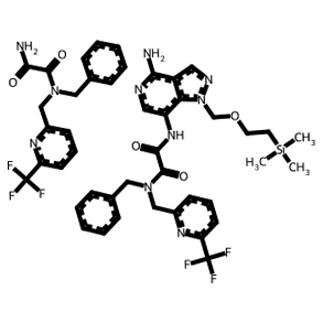 C[Si](C)(C)CCOCn1ncc2c(N)ncc(NC(=O)C(=O)N(Cc3ccccc3)Cc3cccc(C(F)(F)F)n3)c21.NC(=O)C(=O)N(Cc1ccccc1)Cc1cccc(C(F)(F)F)n1